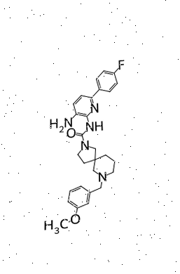 COc1cccc(CN2CCCC3(CCN(C(=O)Nc4nc(-c5ccc(F)cc5)ccc4N)C3)C2)c1